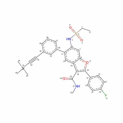 CCS(=O)(=O)Nc1cc2oc(-c3ccc(F)cc3)c(C(=O)NC)c2cc1-c1cccc(C#C[Si](C)(C)C)c1